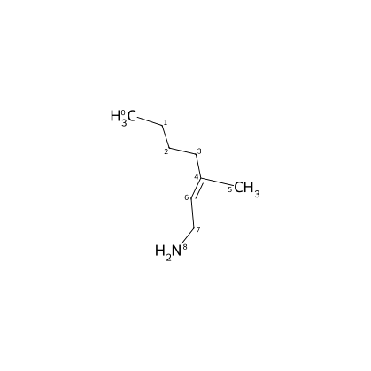 CCCCC(C)=CCN